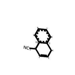 N#CC1[C]=CCc2ccccc21